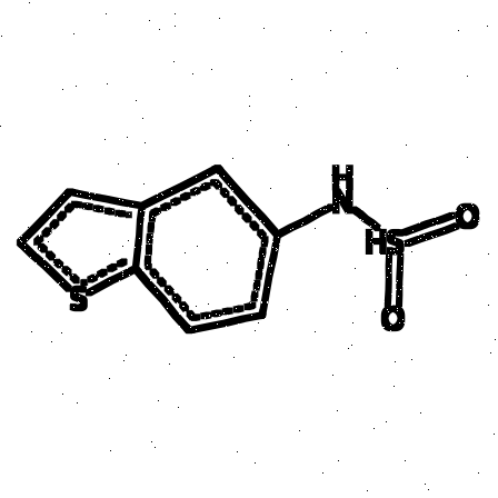 O=[SH](=O)Nc1ccc2sccc2c1